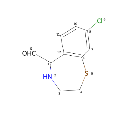 O=CC1NCCSc2cc(Cl)ccc21